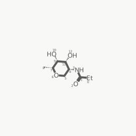 CCC(=O)N[C@@H]1CO[C@H](C)[C@H](O)[C@@H]1O